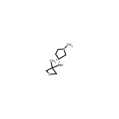 CN1CC[C@@H](NC2(C)COC2)C1